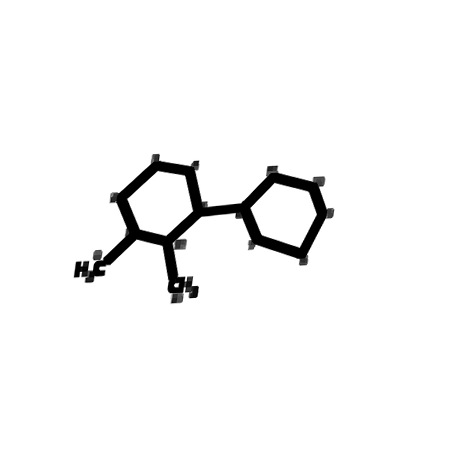 CC1CCCC([C]2CCCCC2)C1C